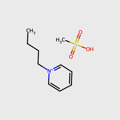 CCCC[n+]1ccccc1.CS(=O)(=O)O